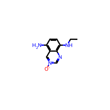 CCNc1ccc(N)c2c[n+]([O-])cnc12